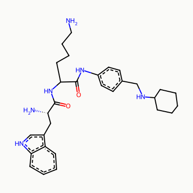 NCCCCC(NC(=O)[C@@H](N)Cc1c[nH]c2ccccc12)C(=O)Nc1ccc(CNC2CCCCC2)cc1